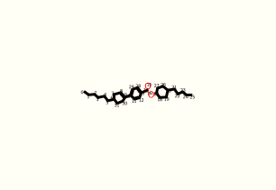 CCCCCCC1CC=C(c2ccc(C(=O)OC3CCC(CCCCC)CC3)cc2)CC1